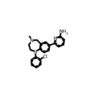 CN1CCN(c2ccccc2Cl)c2ccc(-c3cccc(N)n3)cc2C1